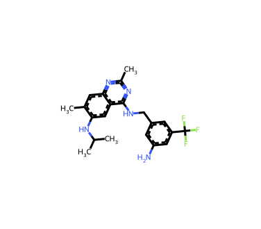 Cc1nc(NCc2cc(N)cc(C(F)(F)F)c2)c2cc(NC(C)C)c(C)cc2n1